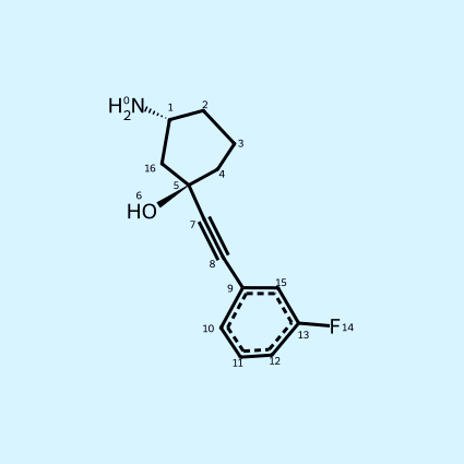 N[C@@H]1CCC[C@](O)(C#Cc2cccc(F)c2)C1